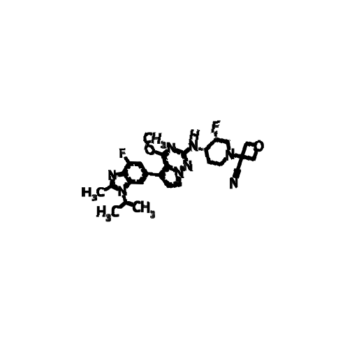 COc1nc(N[C@H]2CCN(C3(C#N)COC3)C[C@H]2F)nn2ccc(-c3cc(F)c4nc(C)n(C(C)C)c4c3)c12